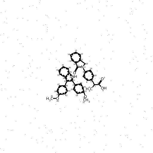 CC(C(=O)O)c1ccc(N2Cc3ccccc3C2=O)cc1.COc1ccc(-c2[nH]c3ccccc3c2-c2ccc(OC)cc2)cc1